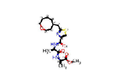 C=C(NC(=O)c1csc(CC2CCCCOCC2)n1)C(=O)NC(=C)C(=O)OC